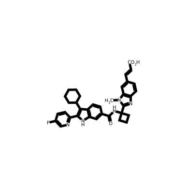 Cn1c(C2(NC(=O)c3ccc4c(C5CCCCC5)c(-c5ccc(F)cn5)[nH]c4c3)CCC2)nc2ccc(/C=C/C(=O)O)cc21